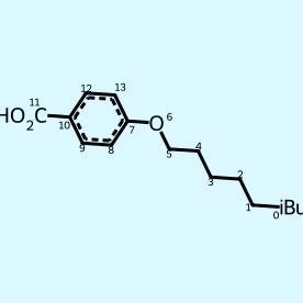 CCC(C)CCCCCOc1ccc(C(=O)O)cc1